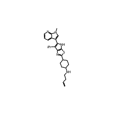 C=CCCNC1CCC(c2nc3c(C(C)C)c(-c4cn(C)c5ncccc45)[nH]c3s2)CC1